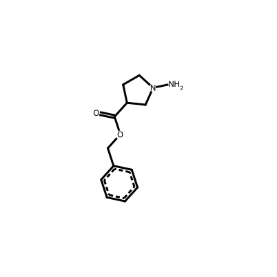 NN1CCC(C(=O)OCc2ccccc2)C1